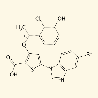 C[C@@H](Oc1cc(-n2cnc3cc(Br)ccc32)sc1C(=O)O)c1cccc(O)c1Cl